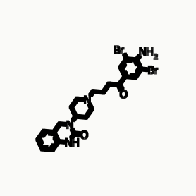 Nc1c(Br)cc(C(=O)CCCN2CCC(N3Cc4ccccc4NC3=O)CC2)cc1Br